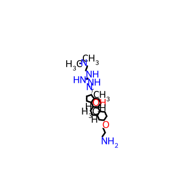 CN(C)CCNC(=N)N/N=C/[C@H]1CC[C@]2(O)[C@@H]3CC[C@@H]4C[C@@H](OCCCN)CC[C@]4(C)[C@H]3CC[C@]12C